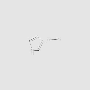 N[Si].c1cc[nH]c1